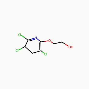 OCCOC1=C(Cl)CC(Cl)C(Cl)=N1